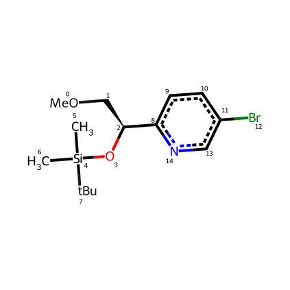 COC[C@H](O[Si](C)(C)C(C)(C)C)c1ccc(Br)cn1